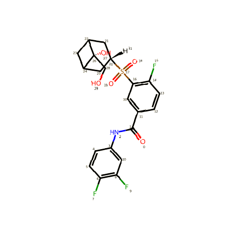 O=C(Nc1ccc(F)c(F)c1)c1ccc(F)c(S(=O)(=O)[C@H]2CC3CC(C2)[C@]3(O)CO)c1